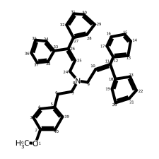 COc1ccc(CCN(CC=C(c2ccccc2)c2ccccc2)CC=C(c2ccccc2)c2ccccc2)cc1